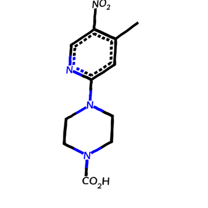 Cc1cc(N2CCN(C(=O)O)CC2)ncc1[N+](=O)[O-]